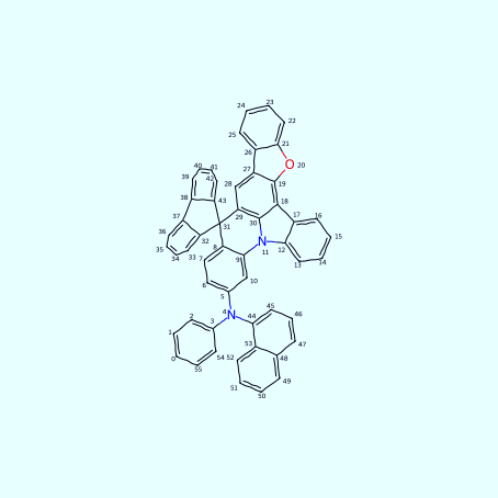 c1ccc(N(c2ccc3c(c2)-n2c4ccccc4c4c5oc6ccccc6c5cc(c42)C32c3ccccc3-c3ccccc32)c2cccc3ccccc23)cc1